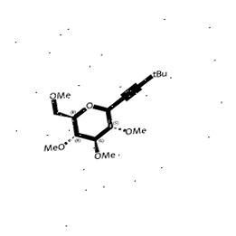 COC[C@H]1OC(C#CC(C)(C)C)[C@H](OC)[C@@H](OC)[C@@H]1OC